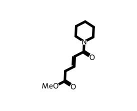 COC(=O)C/C=C/C(=O)N1CCCCC1